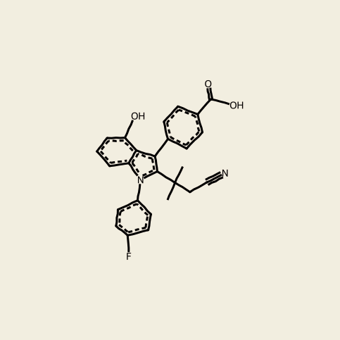 CC(C)(CC#N)c1c(-c2ccc(C(=O)O)cc2)c2c(O)cccc2n1-c1ccc(F)cc1